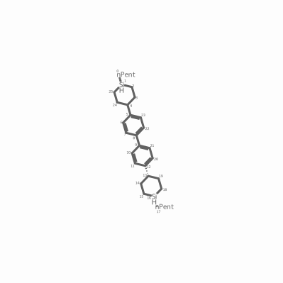 CCCCC[SiH]1CCC(c2ccc(-c3ccc([C@H]4CC[Si@H](CCCCC)CC4)cc3)cc2)CC1